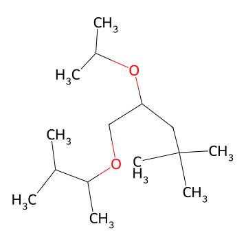 CC(C)OC(COC(C)C(C)C)CC(C)(C)C